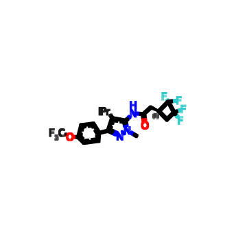 CC(C)c1c(-c2ccc(OC(F)(F)F)cc2)nn(C)c1NC(=O)C[C@@H]1CC(F)(F)C1(F)F